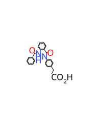 O=C(O)CCc1ccc(NC(=O)c2ccccc2NC(=O)c2ccccc2)cc1